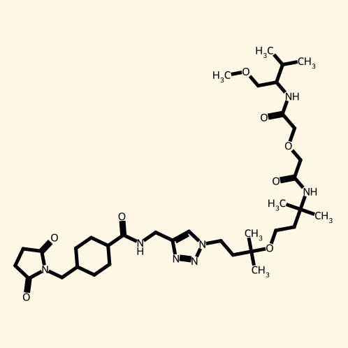 COCC(NC(=O)COCC(=O)NC(C)(C)CCOC(C)(C)CCn1cc(CNC(=O)C2CCC(CN3C(=O)CCC3=O)CC2)nn1)C(C)C